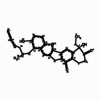 CC[C@@]1(O)C(=O)OCc2c1cc1n(c2=O)Cc2cc3c(CN(C)CN=[N+]=[N-])c(O)ccc3nc2-1